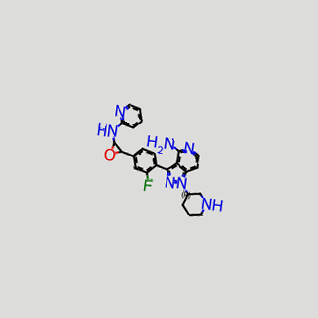 Nc1nccc2c1c(-c1ccc(C3OC3Nc3ccccn3)cc1F)nn2[C@@H]1CCCNC1